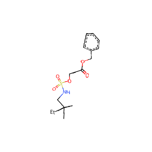 CCC(C)(C)CNS(=O)(=O)OCC(=O)OCc1ccccc1